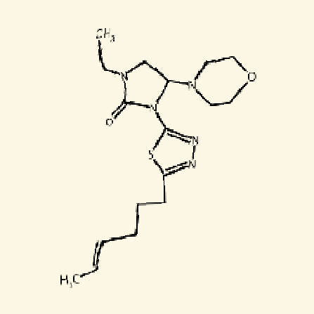 CC=CCCCc1nnc(N2C(=O)N(CC)CC2N2CCOCC2)s1